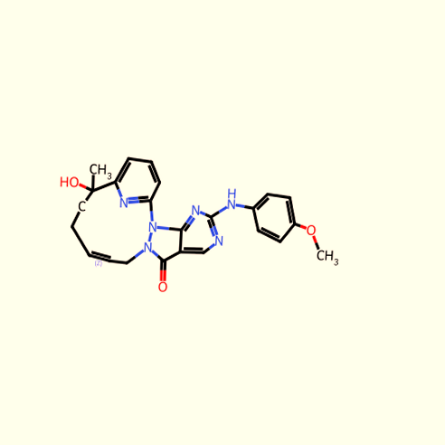 COc1ccc(Nc2ncc3c(=O)n4n(c3n2)-c2cccc(n2)C(C)(O)CC/C=C\C4)cc1